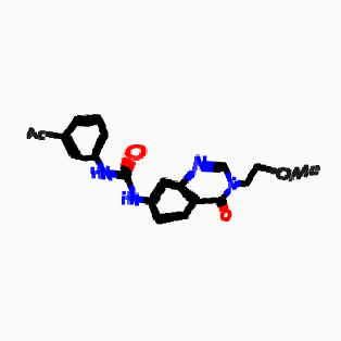 COCCn1cnc2cc(NC(=O)Nc3cccc(C(C)=O)c3)ccc2c1=O